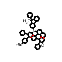 CC(C)(C)c1ccc(-c2ccc(N(c3ccc4c(c3)-c3ccccc3C4(C)c3ccccc3)c3ccc4ccccc4c3-c3ccccc3-c3cccc4oc5ccccc5c34)cc2-c2ccccc2)cc1